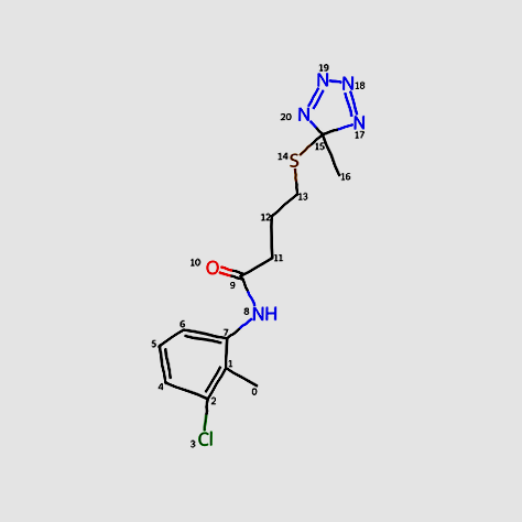 Cc1c(Cl)cccc1NC(=O)CCCSC1(C)N=NN=N1